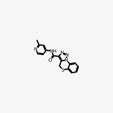 Cc1cc(NC(=O)c2nnn3c2CSc2ccccc2-3)ccn1